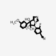 COc1cccc([C@]2(O)c3cncn3[C@@H](c3ccc(C#N)cc3F)C2(C)C)c1